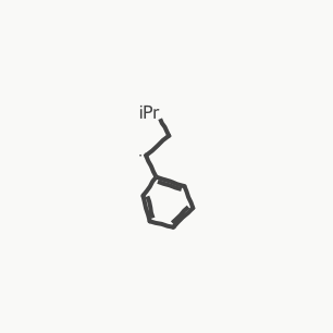 [CH2]C(C)C[CH]c1ccccc1